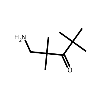 CC(C)(C)C(=O)C(C)(C)CN